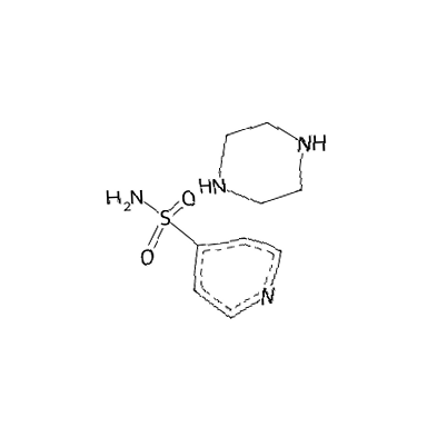 C1CNCCN1.NS(=O)(=O)c1ccncc1